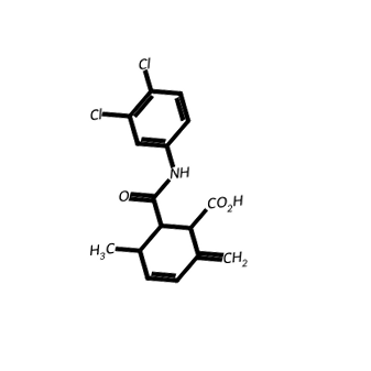 C=C1C=CC(C)C(C(=O)Nc2ccc(Cl)c(Cl)c2)C1C(=O)O